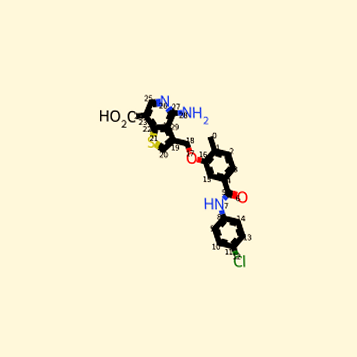 Cc1ccc(C(=O)Nc2ccc(Cl)cc2)cc1OCc1csc2c(C(=O)O)cnc(N)c12